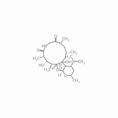 C[C@H]1CN(C)C(=O)CNC(=O)[C@H](C)[C@@H](O)[C@H](C)[C@H]2O[C@@H]3O[C@H](C)C[C@H](N(C)C)[C@]3(O)[C@@]2(O)C1